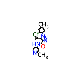 Cc1ccc(-n2nnc(C(=O)Nc3ccnc(C)c3)c2C2CC2)c(Cl)c1